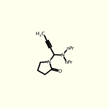 CC#CC(N(CCC)CCC)N1CCCC1=O